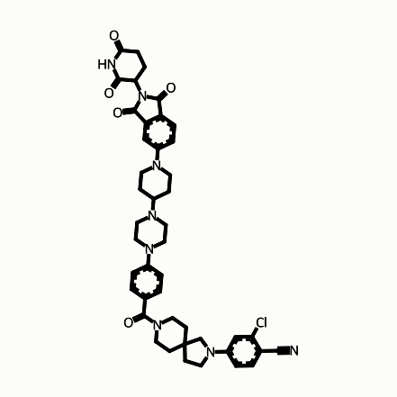 N#Cc1ccc(N2CCC3(CCN(C(=O)c4ccc(N5CCN(C6CCN(c7ccc8c(c7)C(=O)N(C7CCC(=O)NC7=O)C8=O)CC6)CC5)cc4)CC3)C2)cc1Cl